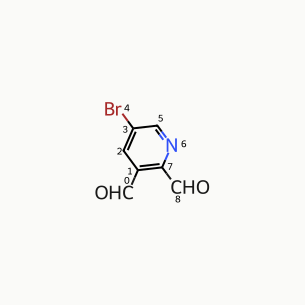 O=Cc1cc(Br)cnc1C=O